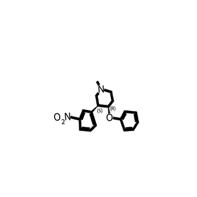 CN1CC[C@@H](Oc2ccccc2)[C@@H](c2cccc([N+](=O)[O-])c2)C1